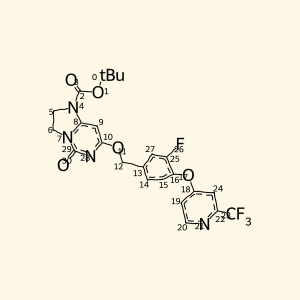 CC(C)(C)OC(=O)N1CCn2c1cc(OCc1ccc(Oc3ccnc(C(F)(F)F)c3)c(F)c1)nc2=O